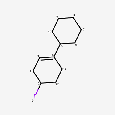 IC1CC=C(C2CCCCC2)CC1